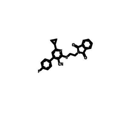 N#Cc1c(-c2ccc(F)cc2)cc(C2CC2)nc1SCCN1C(=O)c2ccccc2C1=O